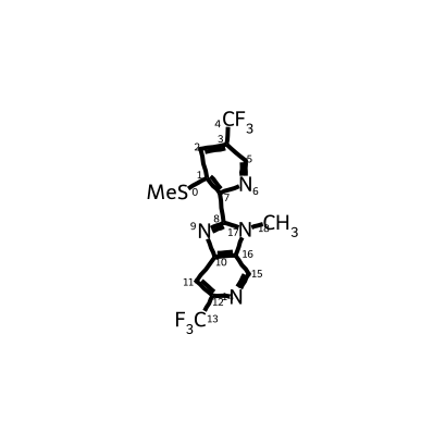 CSc1cc(C(F)(F)F)cnc1-c1nc2cc(C(F)(F)F)ncc2n1C